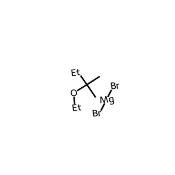 CCOC(C)(C)CC.[Br][Mg][Br]